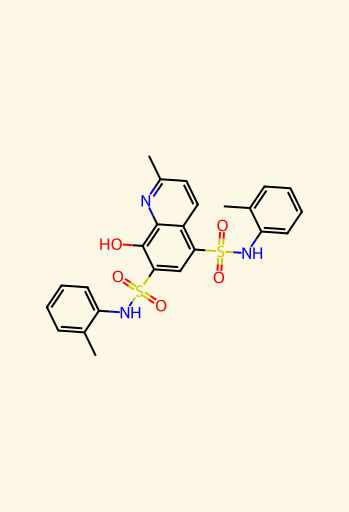 Cc1ccc2c(S(=O)(=O)Nc3ccccc3C)cc(S(=O)(=O)Nc3ccccc3C)c(O)c2n1